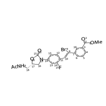 COC(=O)c1cccc(/C(Br)=C/c2ccc(N3C[C@H](CNC(C)=O)OC3=O)cc2F)c1